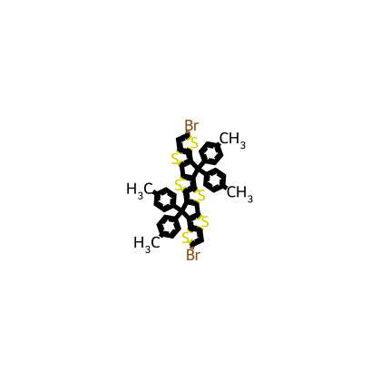 Cc1ccc(C2(c3ccc(C)cc3)c3c(sc4cc(Br)sc34)-c3sc4c5c(sc4c32)-c2sc3cc(Br)sc3c2C5(c2ccc(C)cc2)c2ccc(C)cc2)cc1